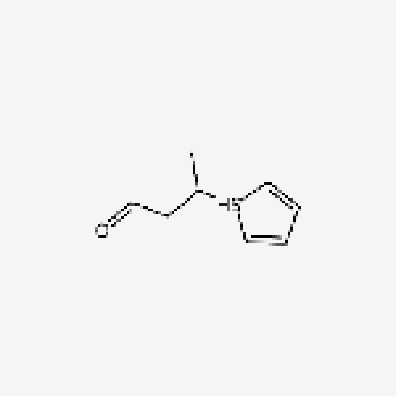 CC(CC=O)[SH]1C=CC=C1